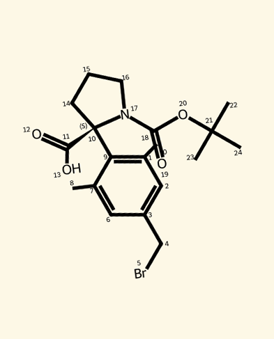 Cc1cc(CBr)cc(C)c1[C@]1(C(=O)O)CCCN1C(=O)OC(C)(C)C